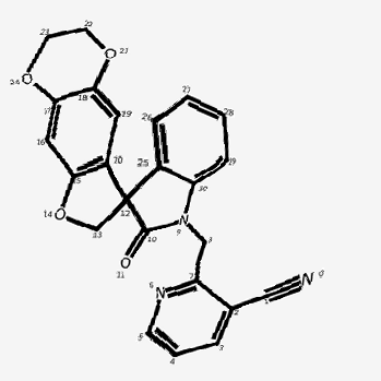 N#Cc1cccnc1CN1C(=O)C2(COc3cc4c(cc32)OCCO4)c2ccccc21